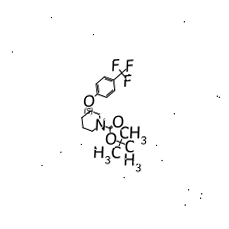 CC(C)(C)OC(=O)N1CCC[C@H](Oc2ccc(C(F)(F)F)cc2)C1